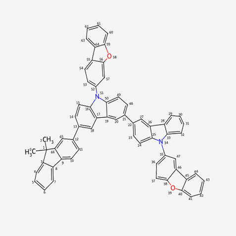 CC1(C)c2ccccc2-c2ccc(-c3ccc4c(c3)c3cc(-c5ccc6c(c5)c5ccccc5n6-c5ccc6oc7ccccc7c6c5)ccc3n4-c3ccc4c(c3)oc3ccccc34)cc21